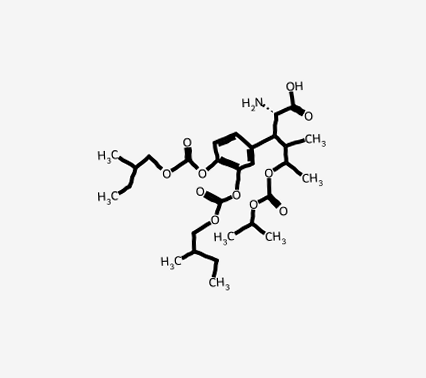 CCC(C)COC(=O)Oc1ccc(C(C(C)C(C)OC(=O)OC(C)C)[C@H](N)C(=O)O)cc1OC(=O)OCC(C)CC